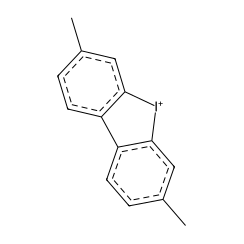 Cc1ccc2c(c1)[I+]c1cc(C)ccc1-2